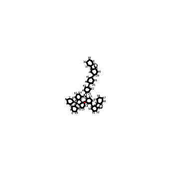 c1ccc(C2(c3ccccc3)c3ccccc3-c3c(N(c4ccc(-c5ccc(-c6ccc7oc8ccccc8c7c6)cc5)cc4)c4ccc(-c5cccc6oc7ccccc7c56)cc4)cccc32)cc1